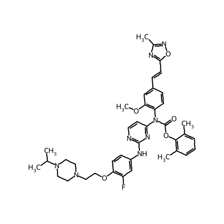 COc1cc(/C=C/c2nc(C)no2)ccc1N(C(=O)Oc1c(C)cccc1C)c1ccnc(Nc2ccc(OCCN3CCN(C(C)C)CC3)c(F)c2)n1